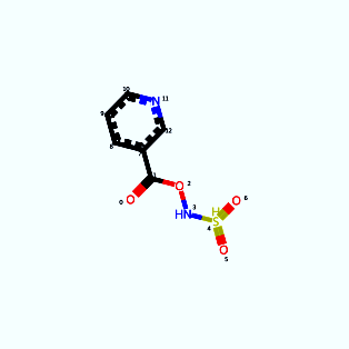 O=C(ON[SH](=O)=O)c1cccnc1